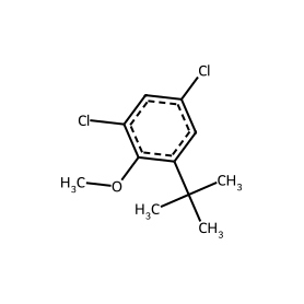 COc1c(Cl)cc(Cl)cc1C(C)(C)C